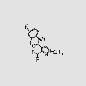 Cn1cc(C(=O)Nc2ccc(F)cc2I)c(C(F)F)n1